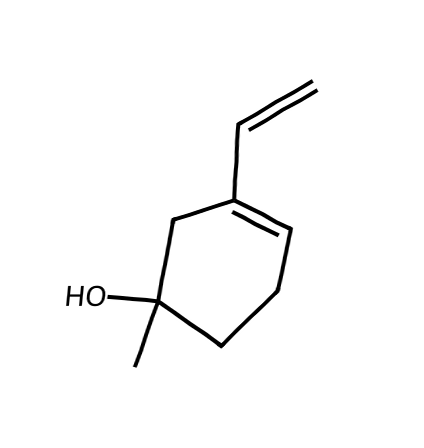 C=CC1=CCCC(C)(O)C1